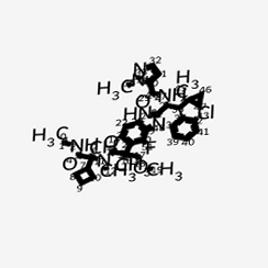 CCNC(=O)C(C)(C1CCC1)N(C)C(=O)C(C)(COC)c1ccc2[nH]c([C@@H](NC(=O)c3ccnn3C)[C@H](c3ccccc3Cl)C3(C)CC3)nc2c1F